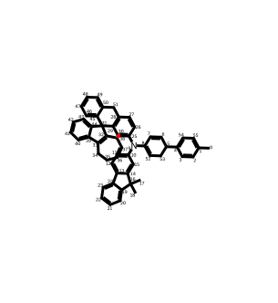 Cc1ccc(C2C=CC(N(c3ccc4c(c3)C(C)(C)c3ccccc3-4)c3ccc4c(c3)C3(C5=C(CCC=CC5)c5ccccc53)c3ccccc3C4)=CC2)cc1